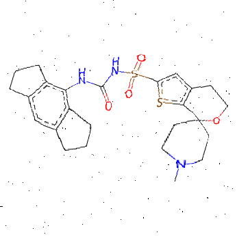 CN1CCC2(CC1)OCCc1cc(S(=O)(=O)NC(=O)Nc3c4c(cc5c3CCC5)CCC4)sc12